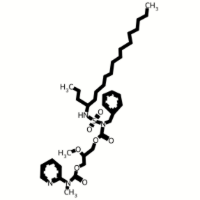 CCCCCCCCCCCCCCC(CCC)NS(=O)(=O)N(Cc1ccccc1)C(=O)OCC(COC(=O)N(C)c1ccccn1)OC